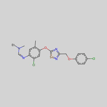 CCN(C)/C=N\c1cc(C)c(Oc2nc(COc3ccc(Cl)cc3)ns2)cc1Cl